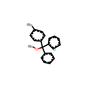 CC(C)(C)OC(c1ccccc1)(c1ccc(C(C)(C)C)cc1)c1ccccc1Cl